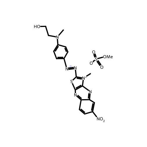 CN(CCO)c1ccc(/N=N/c2sc3nc4ccc([N+](=O)[O-])cc4nc3[n+]2C)cc1.COS(=O)(=O)[O-]